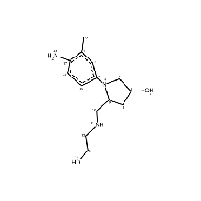 Cc1cc(N2CC(O)CC2CNCCO)ccc1N